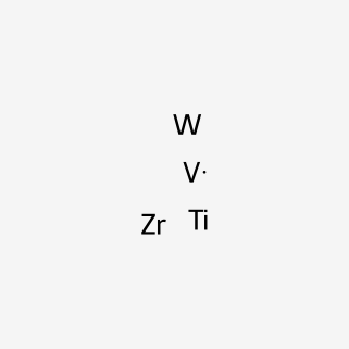 [Ti].[V].[W].[Zr]